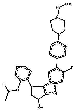 O=CBN1CCN(c2ccc(-c3cn4c5c(nc4cc3F)C(O)CC5c3ccccc3OC(F)F)cn2)CC1